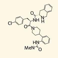 CNC(=O)Nc1ccccc1C1CCN(C(=O)[C@@H](Cc2ccc(Cl)cc2)NC(=O)[C@@H]2Cc3ccccc3CN2)CC1